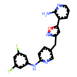 Nc1ncccc1-c1cc(Cc2ccc(Nc3cc(F)cc(F)c3)nc2)no1